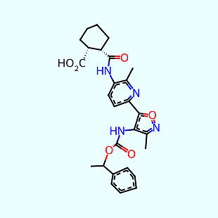 Cc1nc(-c2onc(C)c2NC(=O)OC(C)c2ccccc2)ccc1NC(=O)[C@H]1CCCC[C@H]1C(=O)O